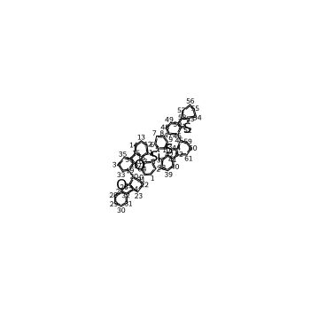 c1ccc([Si](c2ccccc2)(c2cccc3c2oc2c(-c4cccc5c4oc4ccccc45)cccc23)c2cccc3c2sc2c(-c4cccc5c4sc4ccccc45)cccc23)cc1